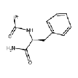 CC(C)C(=O)N[C@@H](Cc1ccccc1)C(N)=O